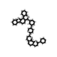 c1ccc(-c2ccc3ccc4ccc(-c5ccc(-c6cccc(-c7nc8ccccc8c8c7ccc7c9ccccc9sc78)c6)cn5)nc4c3n2)cc1